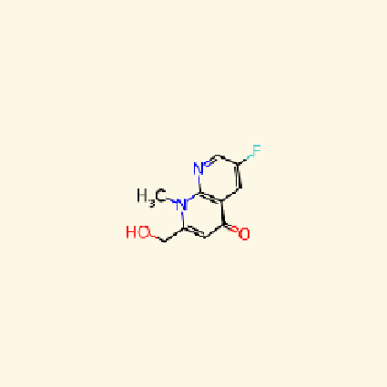 Cn1c(CO)cc(=O)c2cc(F)cnc21